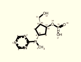 CN(c1ncncn1)[C@@H]1C[C@H](CO)[C@@H](O[PH](=O)O)C1